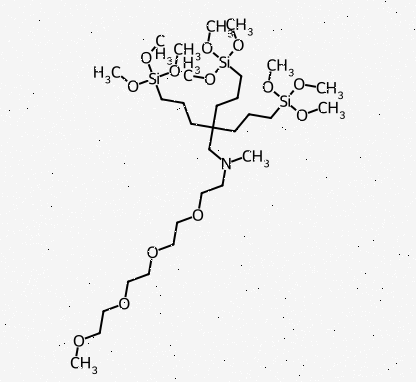 COCCOCCOCCOCCN(C)CC(CCC[Si](OC)(OC)OC)(CCC[Si](OC)(OC)OC)CCC[Si](OC)(OC)OC